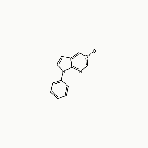 [O-][n+]1cnc2c(ccn2-c2ccccc2)c1